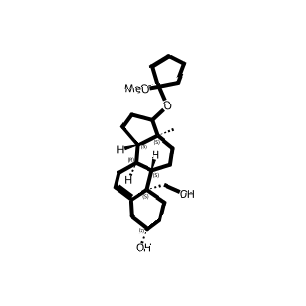 COC1(OC2CC[C@H]3[C@@H]4CC=C5C[C@@H](O)CC[C@]5(CO)[C@H]4CC[C@]23C)CCCC1